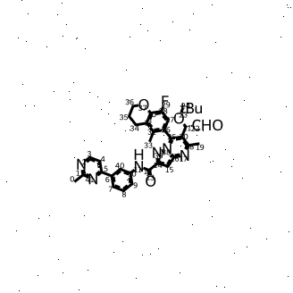 Cc1nccc(-c2cccc(NC(=O)c3cc4nc(C)c([C@@H](C=O)OC(C)(C)C)c(-c5cc(F)c6c(c5C)CCCO6)n4n3)c2)n1